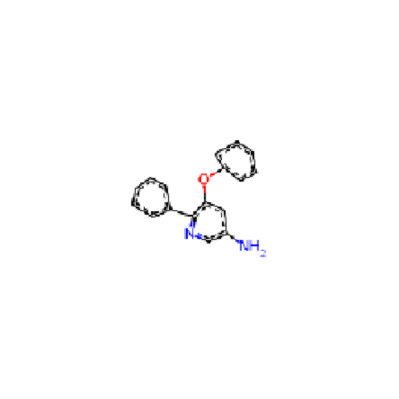 Nc1cnc(-c2ccccc2)c(Oc2ccccc2)c1